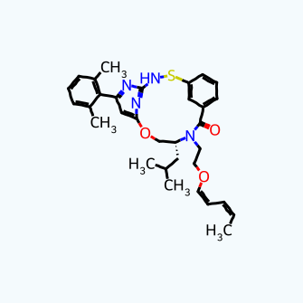 C/C=C\C=C/OCCN1C(=O)c2cccc(c2)SNc2nc(cc(-c3c(C)cccc3C)n2)OC[C@H]1CC(C)C